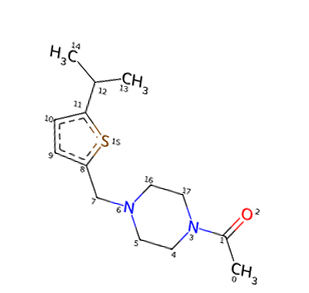 CC(=O)N1CCN(Cc2ccc(C(C)C)s2)CC1